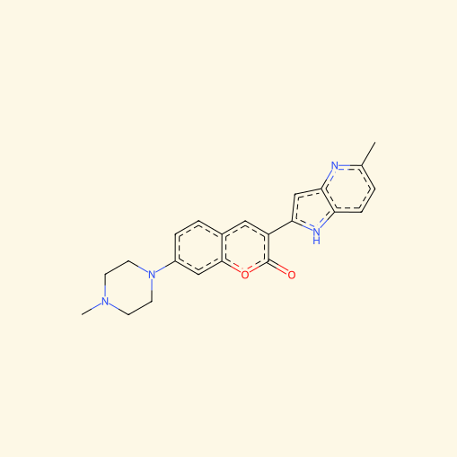 Cc1ccc2[nH]c(-c3cc4ccc(N5CCN(C)CC5)cc4oc3=O)cc2n1